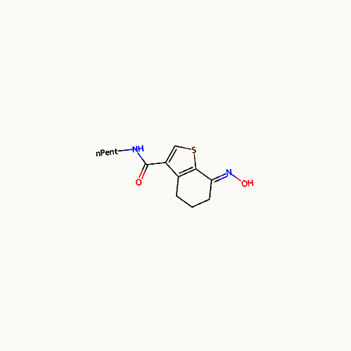 CCCCCNC(=O)c1csc2c1CCCC2=NO